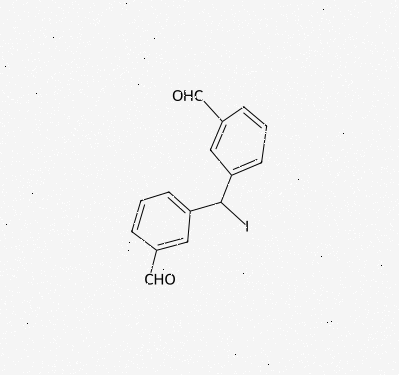 O=Cc1cccc(C(I)c2cccc(C=O)c2)c1